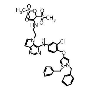 CS(=O)(=O)OC(C(=O)NCCn1ccc2ncnc(Nc3ccc(OC4=CN(Cc5ccccc5)S(Cc5ccccc5)=C4)c(Cl)c3)c21)S(C)(=O)=O